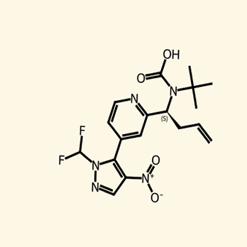 C=CC[C@@H](c1cc(-c2c([N+](=O)[O-])cnn2C(F)F)ccn1)N(C(=O)O)C(C)(C)C